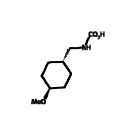 CO[C@H]1CC[C@H](CNC(=O)O)CC1